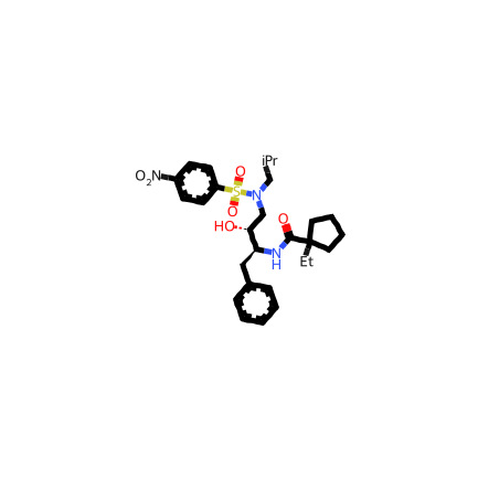 CCC1(C(=O)N[C@@H](Cc2ccccc2)[C@H](O)CN(CC(C)C)S(=O)(=O)c2ccc([N+](=O)[O-])cc2)CCCC1